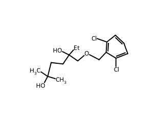 CCC(O)(CCC(C)(C)O)COCc1c(Cl)cccc1Cl